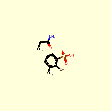 CCC(N)=O.Cc1cccc(S(=O)(=O)O)c1C